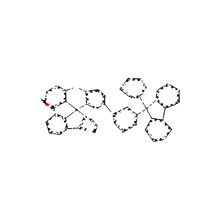 c1ccc(C2(c3cccc(-c4ccc5c(c4)C4(c6ccccc6-c6ccccc64)c4c(ccc6ccccc46)O5)c3)c3ccccc3-c3ccccc32)cc1